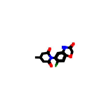 CC1CC(=O)N(c2cc3c(cc2F)OCC(=O)N3)C(=O)C1